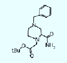 CC(C)(C)OC(=O)CN1CCN(Cc2ccccc2)CC1C(N)=O